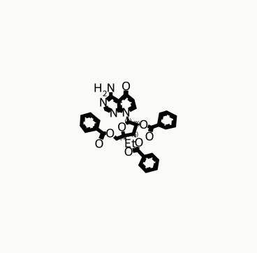 CC[C@]1(COC(=O)c2ccccc2)O[C@@H](n2ccc(=O)c3c(N)ncnc32)[C@H](OC(=O)c2ccccc2)[C@@H]1OC(=O)c1ccccc1